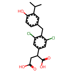 CC(C)c1cc(Cc2c(Cl)cc(C(CC(=O)O)C(=O)O)cc2Cl)ccc1O